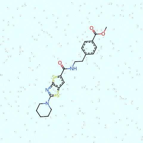 COC(=O)c1ccc(CCNC(=O)c2cc3sc(N4CCCCC4)nc3s2)cc1